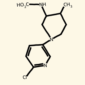 CC1CCN(c2ccc(Cl)nc2)CC1NC(=O)O